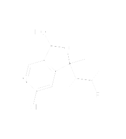 CC1(C(F)C(F)F)OC(O)c2cnc(Cl)cc21